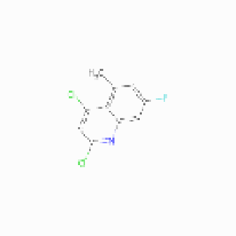 Cc1cc(F)cc2nc(Cl)cc(Cl)c12